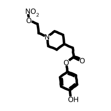 O=C(CC1CCN(CCO[N+](=O)[O-])CC1)Oc1ccc(O)cc1